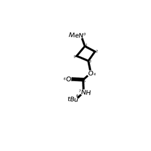 CNC1CC(OC(=O)NC(C)(C)C)C1